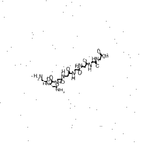 NCC(=O)N[C@@H](CC(N)=O)C(=O)NCC(=O)NCC(=O)NCC(=O)NCC(=O)NCC(=O)NCC(=O)O